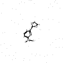 CN(C)c1cccc(C2OCCO2)n1